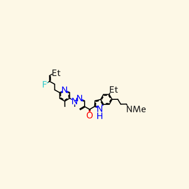 C=C(/C=N\N(C)c1cnc(CC/C(F)=C\CC)cc1C)C(=O)c1cc2cc(CC)c(CCCNC)cc2[nH]1